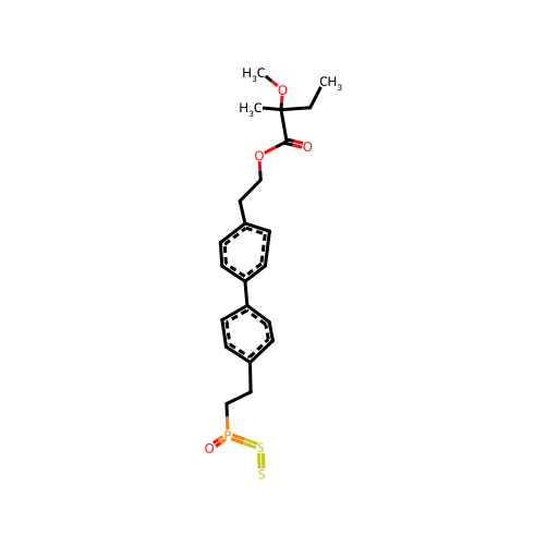 CCC(C)(OC)C(=O)OCCc1ccc(-c2ccc(CCP(=O)=S=S)cc2)cc1